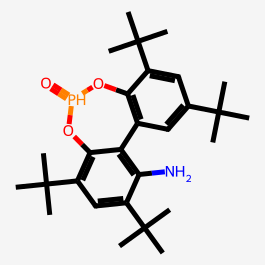 CC(C)(C)c1cc2c(c(C(C)(C)C)c1)O[PH](=O)Oc1c(C(C)(C)C)cc(C(C)(C)C)c(N)c1-2